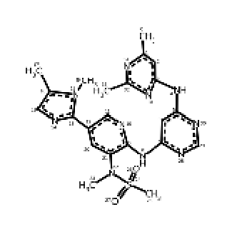 Cc1cc(Nc2cc(Nc3ncc(-c4ncc(C)n4C)cc3N(C)S(C)(=O)=O)ncn2)nc(C)n1